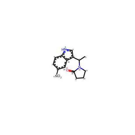 CC(c1c[nH]c2ccc([N+](=O)[O-])cc12)N1CCCC1=O